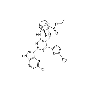 CCOC(=O)[C@@H]1C2CCC(CC2)[C@H]1Nc1nc(-c2c[nH]c3ncc(Cl)nc23)nc(-c2ccc(C3CC3)s2)c1F